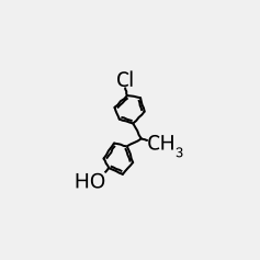 CC(c1ccc(O)cc1)c1ccc(Cl)cc1